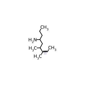 C/C=C(/C)C(C)CC(N)CCC